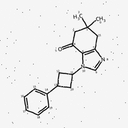 CC1(C)CC(=O)c2c(ncn2C2CC(c3ccccc3)C2)C1